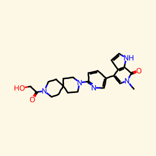 Cn1cc(-c2ccc(N3CCC4(CCN(C(=O)CO)CC4)CC3)nc2)c2cc[nH]c2c1=O